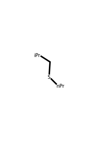 CCCSCC(C)C